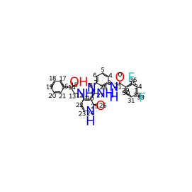 O=C(Nc1cccc2nc(-c3c(NCC(O)c4ccccc4)cc[nH]c3=O)[nH]c12)c1ccc(F)cc1F